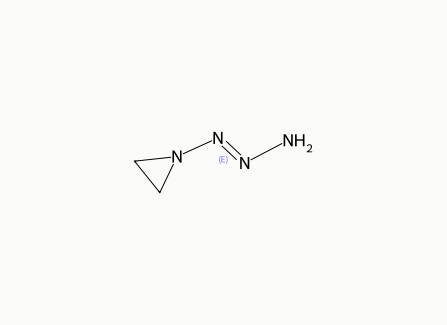 N/N=N/N1CC1